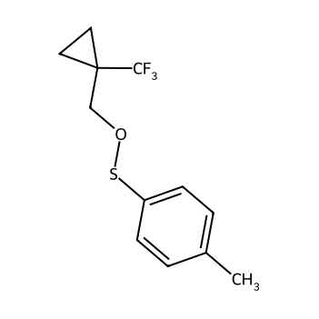 Cc1ccc(SOCC2(C(F)(F)F)CC2)cc1